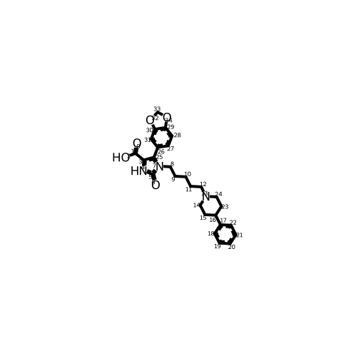 O=C(O)c1[nH]c(=O)n(CCCCCN2CCC(c3ccccc3)CC2)c1-c1ccc2c(c1)OCO2